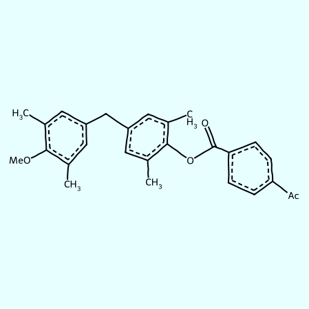 COc1c(C)cc(Cc2cc(C)c(OC(=O)c3ccc(C(C)=O)cc3)c(C)c2)cc1C